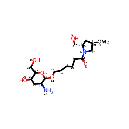 CO[C@@H]1C[C@@H](CO)N(C(=O)CCCCCOC2OC(CO)C(O)CC2N)C1